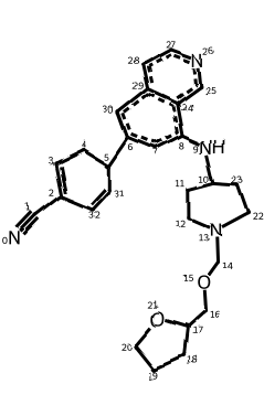 N#CC1=CCC(c2cc(NC3CCN(COCC4CCCO4)CC3)c3cnccc3c2)C=C1